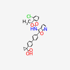 C[C@@H](OC(=O)Nc1c(-c2ccc(-c3ccc(C4(C(=O)O)CC4)cc3)cc2)oc2ncccc12)c1ccccc1Cl